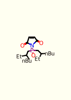 CCCCC(CC)CP(=O)(CC(CC)CCCC)N1C(=O)C=CC1=O